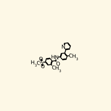 Cc1cc(S(C)(=O)=O)ccc1C(=O)Nc1ccc(C)c(-c2ccccn2)c1